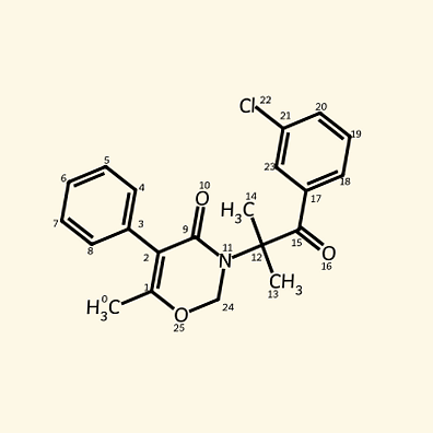 CC1=C(c2ccccc2)C(=O)N(C(C)(C)C(=O)c2cccc(Cl)c2)CO1